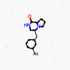 CC(=O)c1cccc(Cc2c[nH]c(=O)c3cccn23)c1